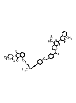 CNc1nc(C2=CNC3(C)C=CC=CC3=C2)nc2c1CCN(C(=O)c1ccc(COc3ccc(C#CCN(C)CCCOc4cccc5c4C(=O)N(C4CCC(=O)NC4=O)C5=O)cc3)cc1)C2